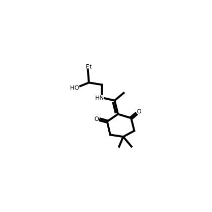 CCC(O)CNC(C)=C1C(=O)CC(C)(C)CC1=O